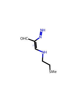 CSCCN/C=C(/C=O)N=N